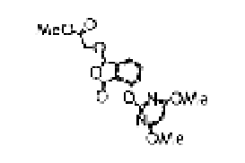 COC(=O)COC1OC(=O)c2c(Oc3nc(OC)cc(OC)n3)cccc21